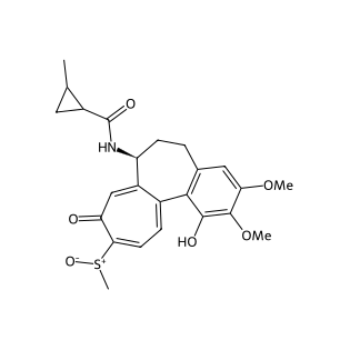 COc1cc2c(c(O)c1OC)-c1ccc([S+](C)[O-])c(=O)cc1[C@@H](NC(=O)C1CC1C)CC2